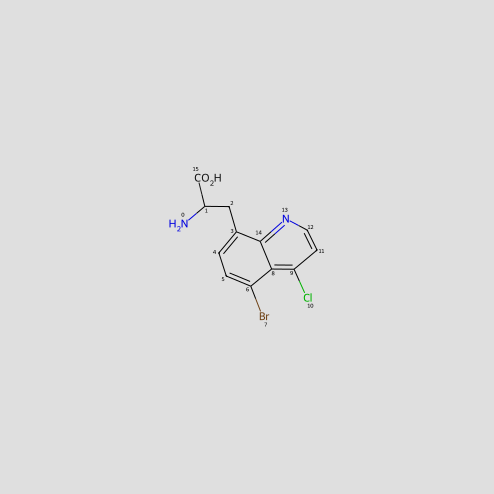 NC(Cc1ccc(Br)c2c(Cl)ccnc12)C(=O)O